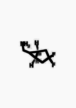 NCC1[C@H]2CC(F)(F)C[C@@H]12